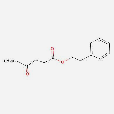 CCCCCCCC(=O)CCC(=O)OCCc1ccccc1